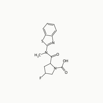 CN(C(=O)C1CC(F)CN1C(=O)O)c1nc2ccccc2s1